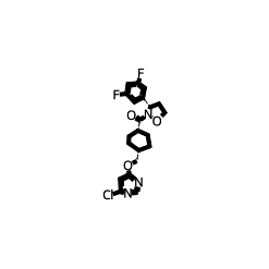 O=C([C@H]1CC[C@@H](COc2cc(Cl)ncn2)CC1)N1OCC[C@H]1c1cc(F)cc(F)c1